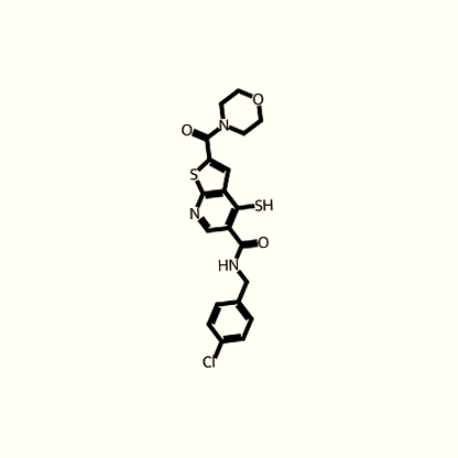 O=C(NCc1ccc(Cl)cc1)c1cnc2sc(C(=O)N3CCOCC3)cc2c1S